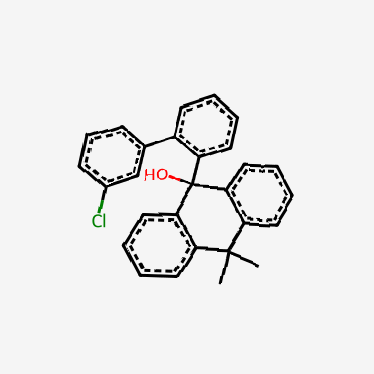 CC1(C)c2ccccc2C(O)(c2ccccc2-c2cccc(Cl)c2)c2ccccc21